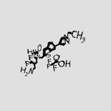 CCn1cc(-c2ccc3cc(Cn4c(CC(CN)=C(F)F)n[nH]c4=O)sc3c2)cn1.O=C(O)C(F)(F)F